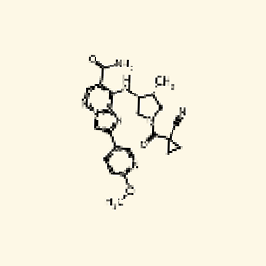 COc1ccc(-c2cn3ncc(C(N)=O)c(N[C@@H]4CN(C(=O)C5(C#N)CC5)C[C@H]4C)c3n2)cn1